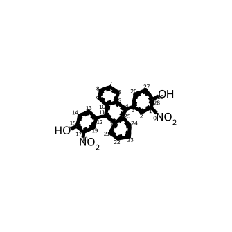 O=[N+]([O-])c1cc(-c2c3ccccc3c(-c3ccc(O)c([N+](=O)[O-])c3)c3ccccc23)ccc1O